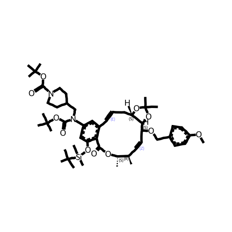 COc1ccc(COC2/C=C\[C@@H](C)[C@H](C)OC(=O)c3c(cc(N(CC4CCN(C(=O)OC(C)(C)C)CC4)C(=O)OC(C)(C)C)cc3O[Si](C)(C)C(C)(C)C)/C=C/C[C@@H]3OC(C)(C)O[C@H]23)cc1